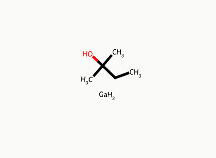 CCC(C)(C)O.[GaH3]